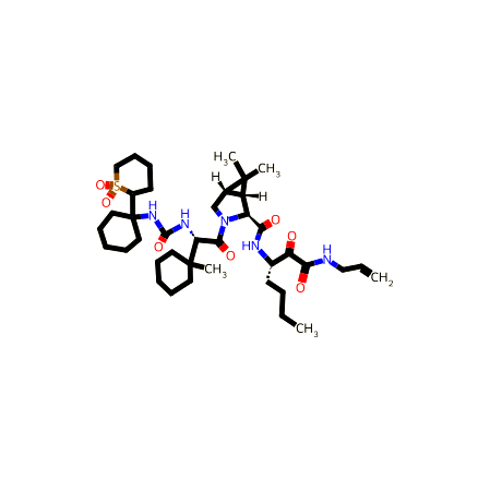 C=CCNC(=O)C(=O)[C@H](CCCC)NC(=O)[C@@H]1[C@@H]2[C@H](CN1C(=O)[C@@H](NC(=O)NC1(C3CCCCS3(=O)=O)CCCCC1)C1(C)CCCCC1)C2(C)C